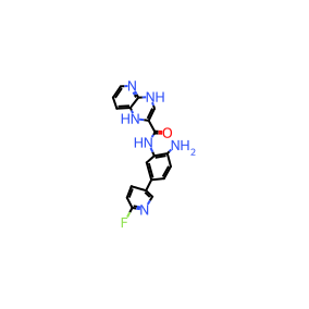 Nc1ccc(-c2ccc(F)nc2)cc1NC(=O)C1=CNc2ncccc2N1